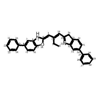 CCC(/C=C1/Nc2cc(-c3ccccc3)ccc2O1)=C\C1=Nc2cc(-c3ccccc3)ccc2C1